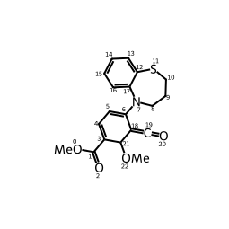 COC(=O)C1=CC=C(N2CCCSc3ccccc32)C(=C=O)C1OC